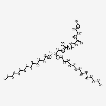 CCCCCCCCCCCCCCOC[C@H](COC(=O)NCCC(C)OCCOC)OCCCCCCCCCCCCCC